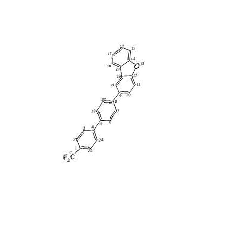 FC(F)(F)c1ccc(-c2ccc(-c3ccc4oc5ccccc5c4c3)cc2)cc1